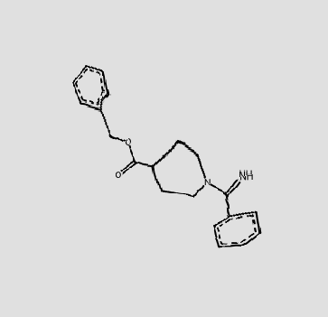 N=C(c1ccccc1)N1CCC(C(=O)OCc2ccccc2)CC1